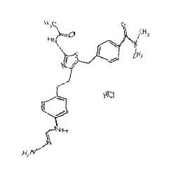 CC(=O)Nc1nc(CCc2ccc(NC=NN)cc2)c(Cc2ccc(C(=O)N(C)C)cc2)s1.Cl